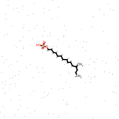 CCCC(C)CCCCCCCCCCCOS(=O)(=O)O